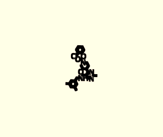 Cc1cc(C)cc(CNC(=O)c2cnc(C)nc2C2CCN(C(=O)Oc3ccccc3Cl)CC2)c1